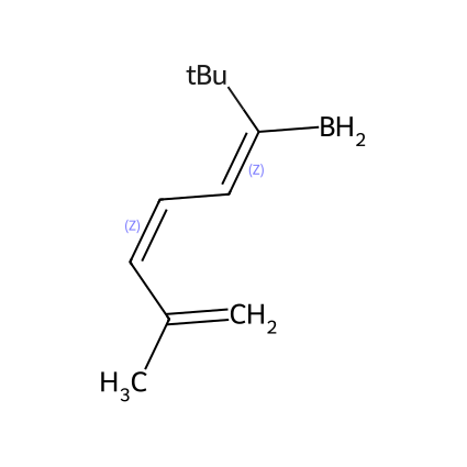 B/C(=C/C=C\C(=C)C)C(C)(C)C